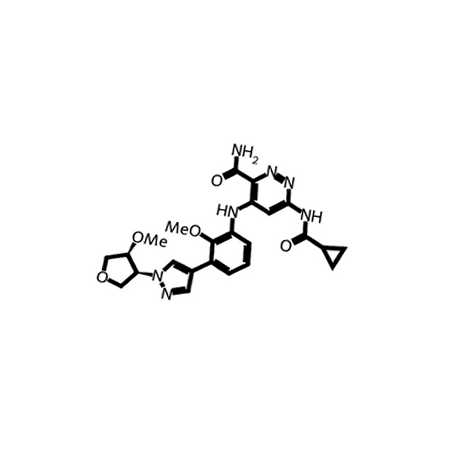 COc1c(Nc2cc(NC(=O)C3CC3)nnc2C(N)=O)cccc1-c1cnn([C@H]2COC[C@H]2OC)c1